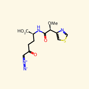 CO[C@H](C(=O)N[C@@H](CCC(=O)C=[N+]=[N-])C(=O)O)c1cscn1